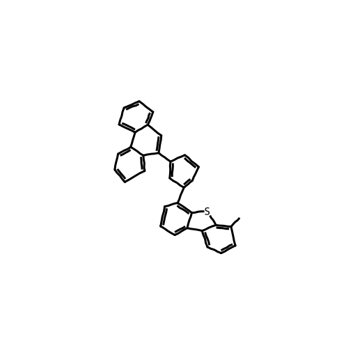 Cc1cccc2c1sc1c(-c3cccc(-c4cc5ccccc5c5ccccc45)c3)cccc12